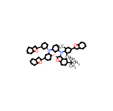 Cc1cc(-c2cc3ccccc3o2)cc(C)c1N1c2cccc3c2B(c2ccc(-c4cc5ccccc5o4)cc2N3c2cccc(-c3cc4ccccc4o3)c2)c2oc3ccc(C(C)(C)C)cc3c21